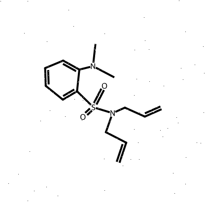 C=CCN(CC=C)S(=O)(=O)c1ccccc1N(C)C